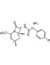 C[C@H]1C=C(C(=O)O)N2C(=O)[C@H](NC(=O)[C@H](N)c3ccc(O)cc3)[C@@H]2C1